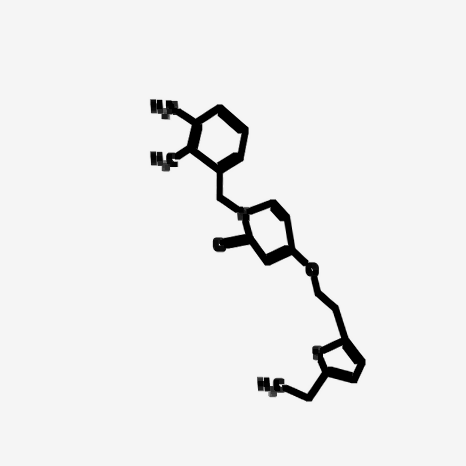 CCc1ccc(CCOc2ccn(Cc3cccc(N)c3C)c(=O)c2)s1